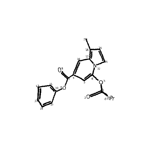 CCCC(=O)Oc1cc(C(=O)Oc2ccccc2)cc2c(C)ccn12